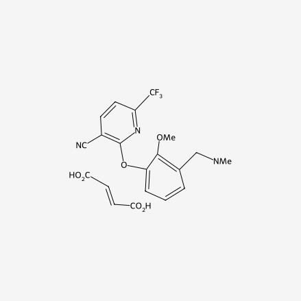 CNCc1cccc(Oc2nc(C(F)(F)F)ccc2C#N)c1OC.O=C(O)C=CC(=O)O